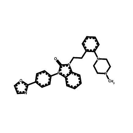 CN1CCN(c2ccccc2CCn2c(=O)n(-c3ccc(-c4ncco4)cc3)c3ccccc32)CC1